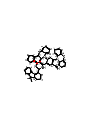 CC1(C)c2ccccc2C2=C(C3N=C(c4ccccc4)N=C(C4=CC(C#N)=C(N5c6ccccc6Sc6ccccc65)CC4N4c5ccccc5Sc5ccccc54)N3)C=CCC21